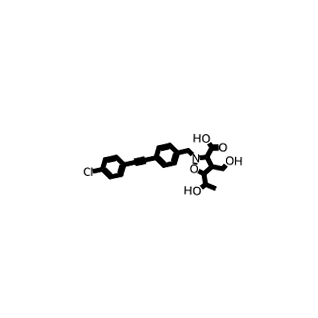 CC(O)C1ON(Cc2ccc(C#Cc3ccc(Cl)cc3)cc2)C(C(=O)O)C1CO